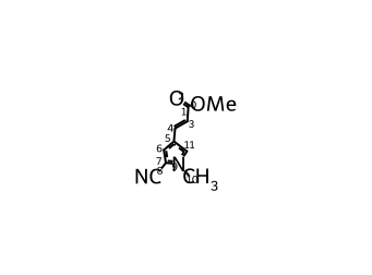 COC(=O)C=Cc1cc(C#N)n(C)c1